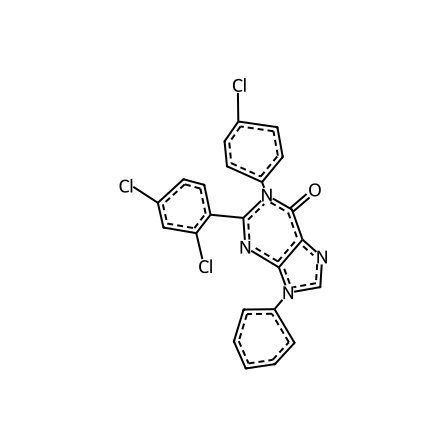 O=c1c2ncn(-c3ccccc3)c2nc(-c2ccc(Cl)cc2Cl)n1-c1ccc(Cl)cc1